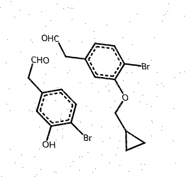 O=CCc1ccc(Br)c(O)c1.O=CCc1ccc(Br)c(OCC2CC2)c1